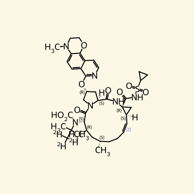 [2H]C([2H])([2H])C(C)(C)N(C(=O)O)[C@@H]1C(=O)N2C[C@H](Oc3nccc4c5c(ccc34)N(C)CCO5)C[C@H]2C(=O)N[C@]2(C(=O)NS(=O)(=O)C3CC3)C[C@H]2/C=C\CC[C@H](C)C[C@H]1C